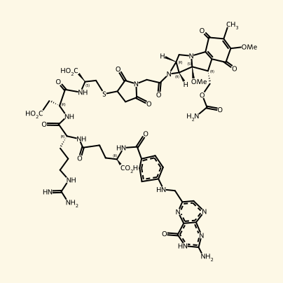 COC1=C(C)C(=O)C2=C(C1=O)[C@H](COC(N)=O)[C@]1(OC)[C@H]3[C@@H](CN21)N3C(=O)CN1C(=O)CC(SC[C@@H](NC(=O)[C@@H](CC(=O)O)NC(=O)[C@@H](CCCNC(=N)N)NC(=O)CC[C@@H](NC(=O)c2ccc(NCc3cnc4nc(N)[nH]c(=O)c4n3)cc2)C(=O)O)C(=O)O)C1=O